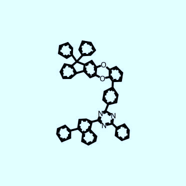 c1ccc(-c2nc(-c3ccc(-c4cccc5c4Oc4cc6c(cc4O5)C(c4ccccc4)(c4ccccc4)c4ccccc4-6)cc3)nc(-c3ccc(-c4ccccc4)c4ccccc34)n2)cc1